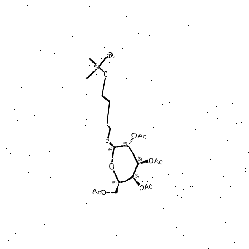 CC(=O)OC[C@H]1O[C@@H](OCCCCO[Si](C)(C)C(C)(C)C)[C@H](OC(C)=O)[C@@H](OC(C)=O)[C@H]1OC(C)=O